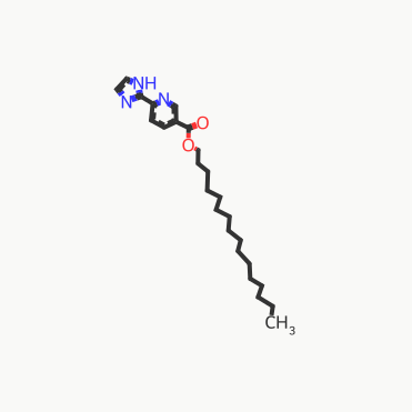 CCCCCCCCCCCCCCCCOC(=O)c1ccc(-c2ncc[nH]2)nc1